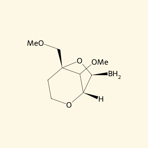 B[C@@H]1O[C@@]2(COC)CCO[C@@H]1C2OC